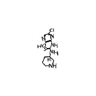 Oc1ncc(Cl)nc1NC(=S)N[C@@H]1CCCNC1